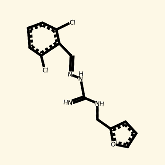 N=C(NCc1ccco1)N/N=C/c1c(Cl)cccc1Cl